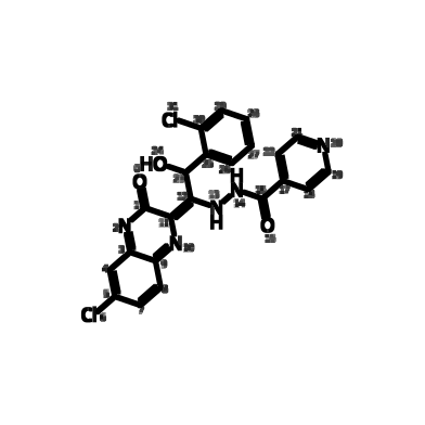 O=C1N=c2cc(Cl)ccc2=N/C1=C(\NNC(=O)c1ccncc1)C(O)c1ccccc1Cl